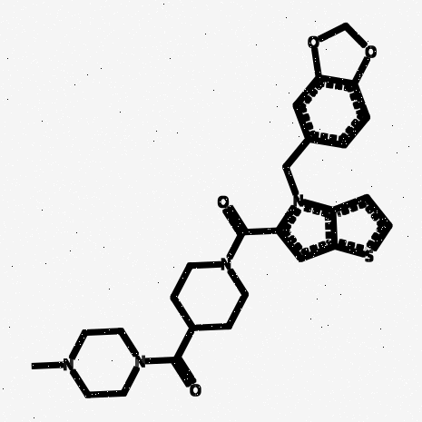 CN1CCN(C(=O)C2CCN(C(=O)c3cc4sccc4n3Cc3ccc4c(c3)OCO4)CC2)CC1